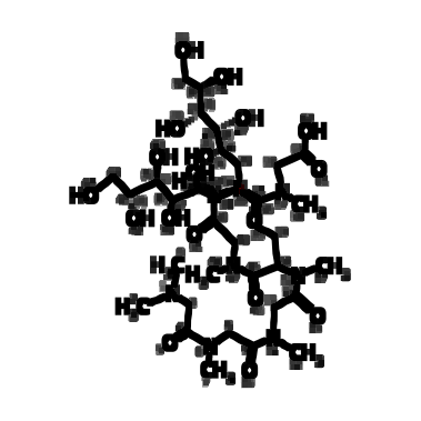 CN(C)CC(=O)N(C)CC(=O)N(C)CC(=O)N(C)C(CCCN(C[C@H](O)[C@@H](O)[C@H](O)[C@H](O)CO)C[C@H](O)[C@@H](O)[C@H](O)[C@H](O)CO)C(=O)N(C)CC(=O)N(C)CC(=O)N(C)CC(=O)O